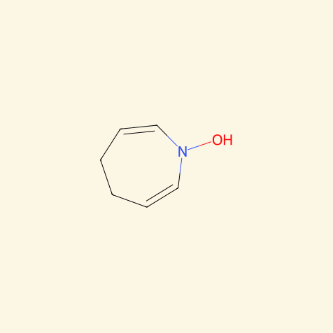 ON1C=CCCC=C1